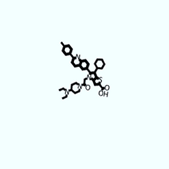 CCN(CC)C1CCN(C(=O)Cn2c(-c3ccc4nc(-c5ccc(C)cc5)ccc4c3)c(C3CCCCC3)c3sc(C(=O)O)cc32)CC1